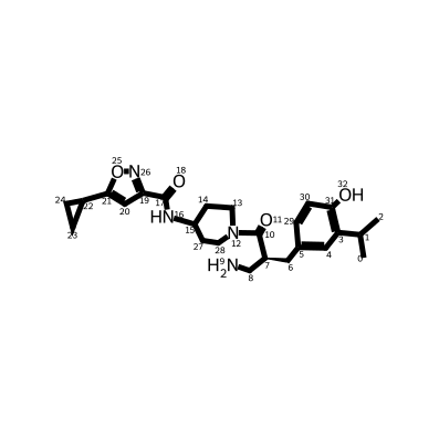 CC(C)c1cc(C[C@@H](CN)C(=O)N2CCC(NC(=O)c3cc(C4CC4)on3)CC2)ccc1O